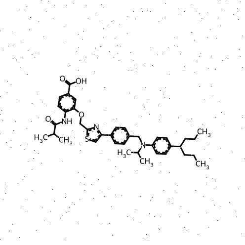 CCCC(CCC)c1ccc(N(Cc2ccc(-c3csc(COc4cc(C(=O)O)ccc4NC(=O)C(C)C)n3)cc2)C(C)C)cc1